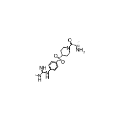 CNC(=N)Nc1ccc(S(=O)(=O)C2CCN(C(=O)[C@H](C)N)CC2)cc1